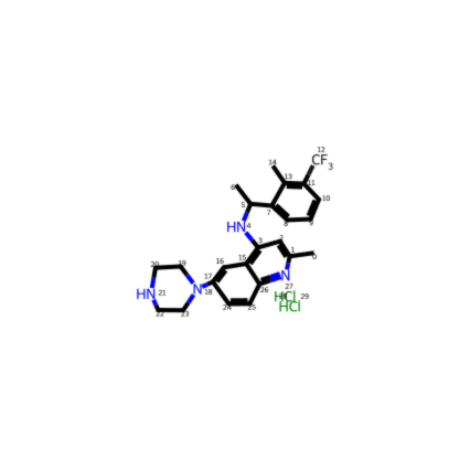 Cc1cc(NC(C)c2cccc(C(F)(F)F)c2C)c2cc(N3CCNCC3)ccc2n1.Cl.Cl